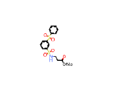 COC(=O)CCNS(=O)(=O)c1cccc(S(=O)(=O)c2ccccc2)c1